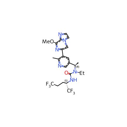 CCN(C(=O)N[C@@H](CCC(F)(F)F)C(F)(F)F)[C@H](C)c1cnc(C)c(-c2cn3ccnc3c(OC)n2)c1